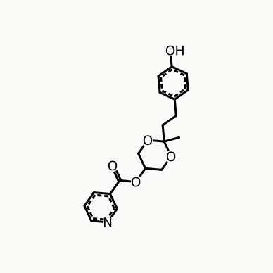 CC1(CCc2ccc(O)cc2)OCC(OC(=O)c2cccnc2)CO1